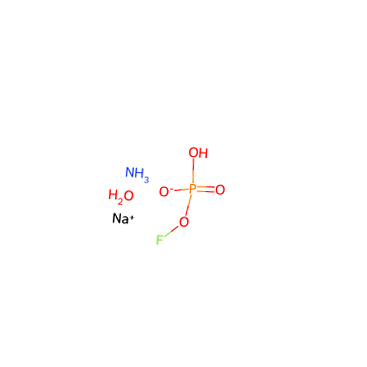 N.O.O=P([O-])(O)OF.[Na+]